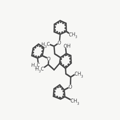 Cc1ccccc1OC(C)Cc1ccc(O)c(CC(C)Oc2ccccc2C)c1CC(C)Oc1ccccc1C